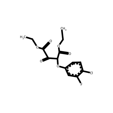 CCOC(=O)C(=O)C(Oc1ccc(Cl)c(F)c1)C(=O)OCC